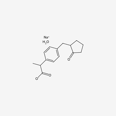 CC(C(=O)[O-])c1ccc(CC2CCCC2=O)cc1.O.[Na+]